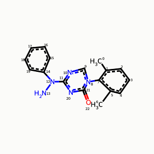 Cc1cccc(C)c1-n1cnc(N(N)c2ccccc2)nc1=O